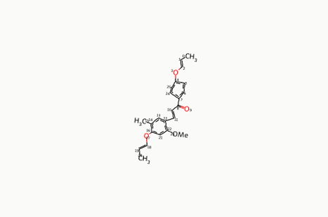 CC=COc1ccc(C(=O)C=Cc2cc(C)c(OC=CC)cc2OC)cc1